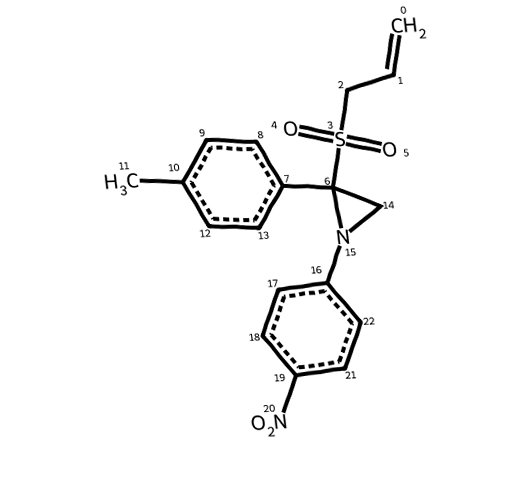 C=CCS(=O)(=O)C1(c2ccc(C)cc2)CN1c1ccc([N+](=O)[O-])cc1